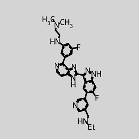 CCNCc1cncc(-c2cc3c(-c4nc5c(-c6cc(F)cc(NCCN(C)C)c6)nccc5[nH]4)n[nH]c3cc2F)c1